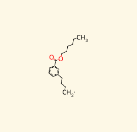 [CH2]CCCc1cccc(C(=O)OCCCCCC)c1